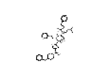 CC(C)CCN(C(=O)N[C@@H](CCc1ccccc1)C(O)c1nc(C(=O)N2CCC(Cc3ccccc3)CC2)co1)C(=O)OCc1ccccc1